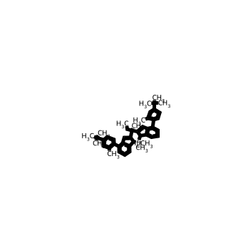 CCC1(C)C2=Cc3c(-c4ccc(C(C)(C)C)cc4C)cccc3[CH]2[Hf]([CH3])([CH3])[CH]2C1=Cc1c(-c3ccc(C(C)(C)C)cc3C)cccc12